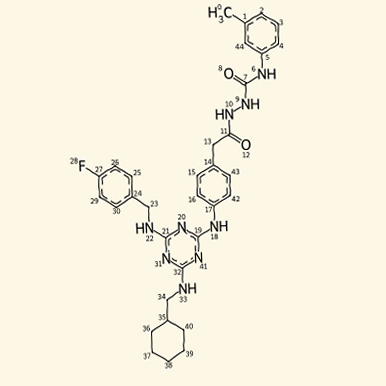 Cc1cccc(NC(=O)NNC(=O)Cc2ccc(Nc3nc(NCc4ccc(F)cc4)nc(NCC4CCCCC4)n3)cc2)c1